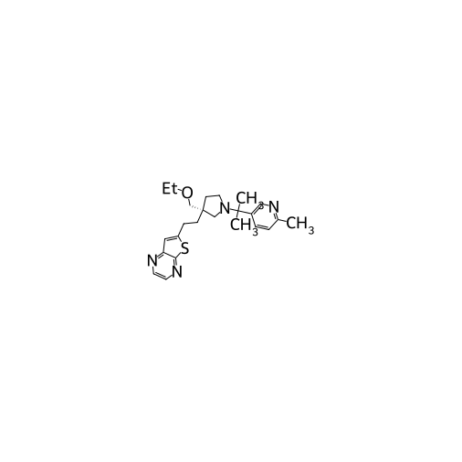 CCOC[C@]1(CCc2cc3nccnc3s2)CCN(C(C)(C)c2ccc(C)nc2)C1